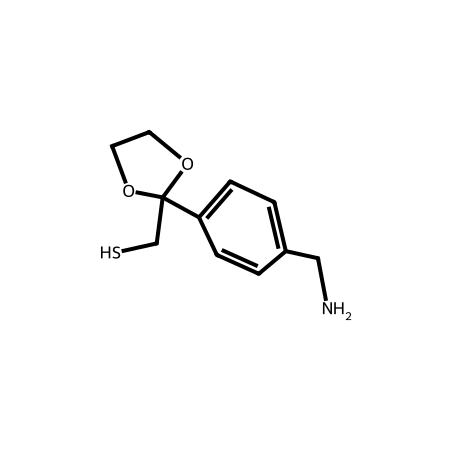 NCc1ccc(C2(CS)OCCO2)cc1